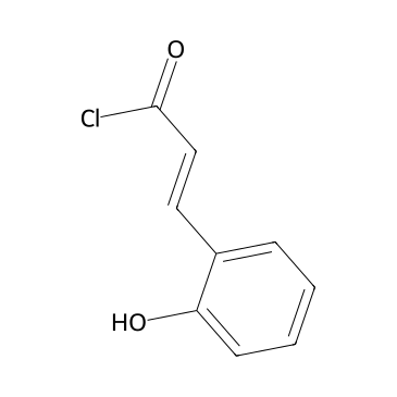 O=C(Cl)C=Cc1ccccc1O